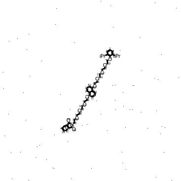 CC(C)c1cccc(C(C)C)c1OCCOCCOCCOCCOc1cccc2c(OCCOCCOCCOCCN3C(=O)C4C5C=CC(O5)C4C3=O)cccc12